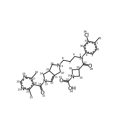 Cc1ccc(N(CCCN2CC3=CN(C(=O)c4c(C)ncnc4C)CC3C2)C(=O)C2CN(C(=O)O)C2)cc1Cl